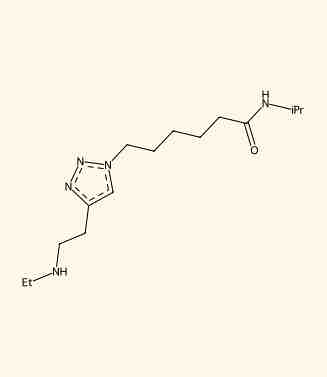 CCNCCc1cn(CCCCCC(=O)NC(C)C)nn1